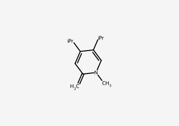 C=C1C=C(C(C)C)C(C(C)C)=CN1C